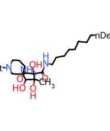 CCCCCCCCCCCCCCCCCCNC(=O)C(O)(C(N)=O)C(C)(O)C(O)C1CCCN(CC)C1